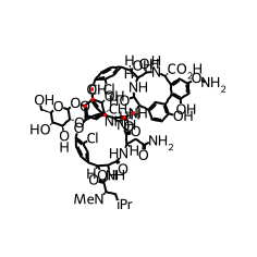 CN[C@H](CC(C)C)C(=O)NC1C(=O)N[C@@H](CC(N)=O)C(=O)N[C@H]2C(=O)N[C@@H]3c4ccc(O)c(c4)-c4c(O)cc(ON)cc4[C@@H](C(=O)O)N[C@H](O)[C@@H](NC3O)[C@H](O)c3ccc(c(Cl)c3)Oc3cc2cc(c3OC2O[C@H](CO)[C@@H](O)[C@H](O)[C@H]2O[C@H]2C[C@](C)(N)[C@H](O)[C@H](C)O2)Oc2ccc(cc2Cl)[C@H]1O